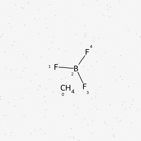 C.FB(F)F